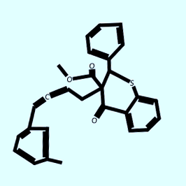 COC(=O)C1(CC=C=Cc2cccc(C)c2)C(=O)c2ccccc2SC1c1ccccc1